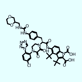 CC(C)(C)c1c(NC(=O)[C@H](Cc2ccc(NC(=O)NCC3COCCO3)cc2)N2CCN(c3cc(Cl)ccc3-n3cnnn3)C(=O)C2=O)ccc2c1c(C(C)(C)C)c(C(=O)O)n2C(=O)O